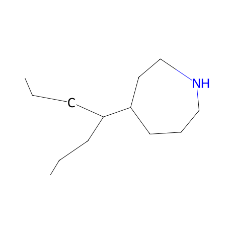 CCCC(CCC)C1CCCNCC1